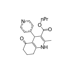 CCCOC(=O)C1=C(C)NC2=C(C(=O)CCC2)C1c1ccncc1